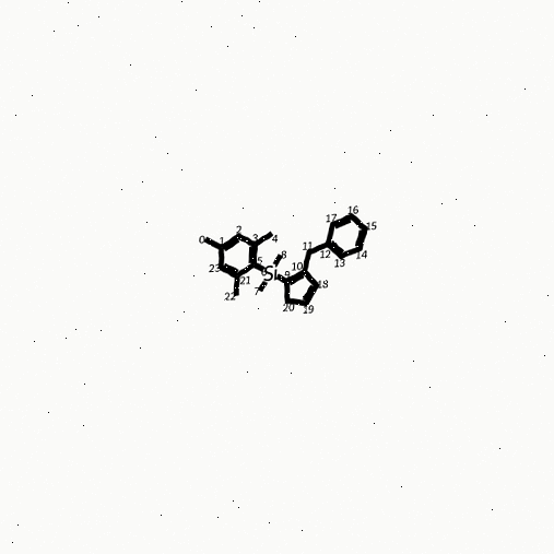 Cc1cc(C)c([Si](C)(C)C2=C(Cc3ccccc3)C=CC2)c(C)c1